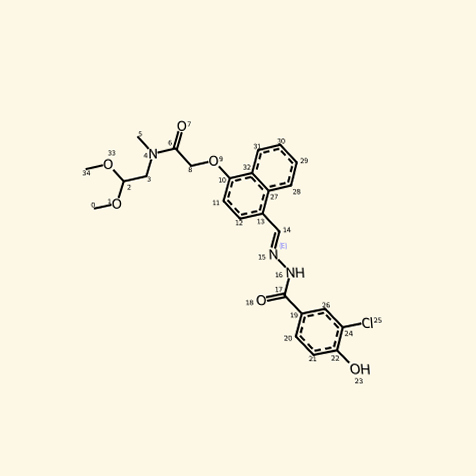 COC(CN(C)C(=O)COc1ccc(/C=N/NC(=O)c2ccc(O)c(Cl)c2)c2ccccc12)OC